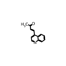 CC(=O)C=Cc1ccnc2ccccc12